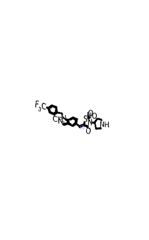 O=C1S/C(=C\c2ccc3c(cnn3Cc3ccc(C(F)(F)F)cc3C(F)(F)F)c2)C(=O)N1C1CCNCC1O